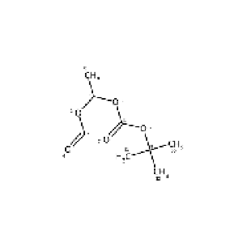 CC(OC=O)OC(=O)OC(C)(C)C